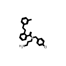 C=C(c1ccccc1CCc1cccc(C)c1)N(CCCN)Cc1ccc(Cl)cc1